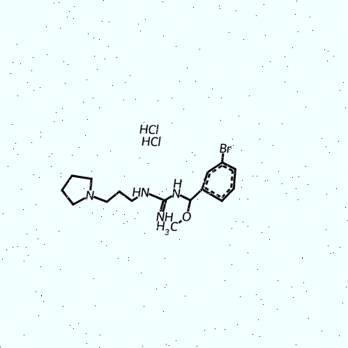 COC(NC(=N)NCCCN1CCCC1)c1cccc(Br)c1.Cl.Cl